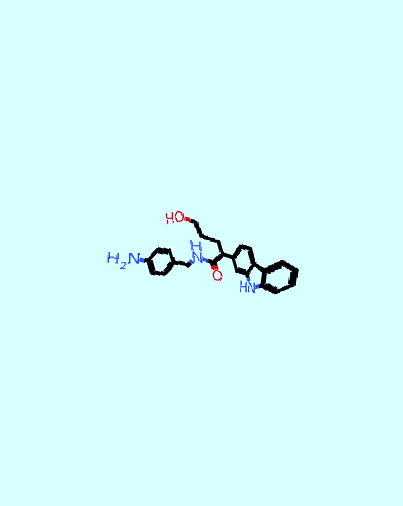 Nc1ccc(CNC(=O)C(CCCO)c2ccc3c(c2)[nH]c2ccccc23)cc1